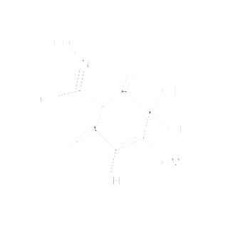 COC1=C(C)C(=O)C(/C(=N/O)C(C)C)C(=O)C1(C)C